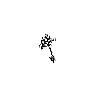 COC(=O)C1=C(C)NC(C)=C(C(=O)OCCCCCCn2nc(C)cc2C)C1c1cccc(C(F)(F)F)c1